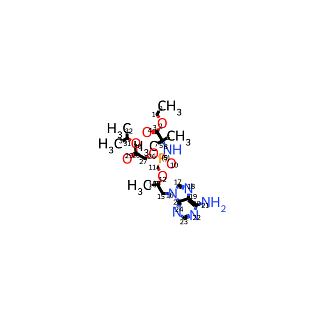 CCOC(=O)C(C)(C)N[P@](=O)(CO[C@H](C)Cn1cnc2c(N)ncnc21)OCC(=O)OC(C)C